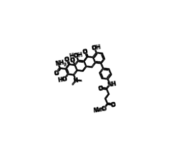 COC(=O)CCC(=O)Nc1ccc(-c2ccc(O)c3c2CC2CC4C(N(C)C)C(O)=C(C(N)=O)C(=O)C4(O)C(O)=C2C3=O)cc1